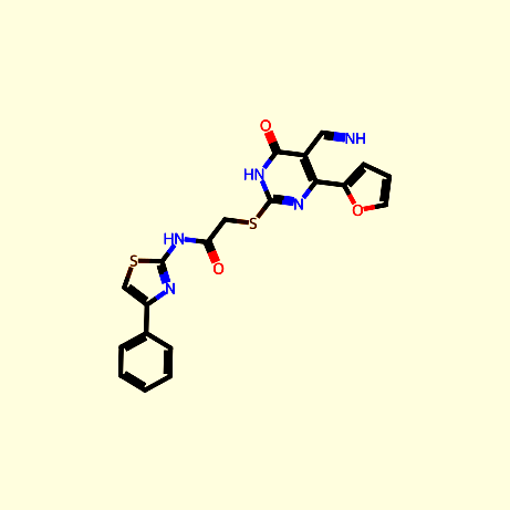 N=Cc1c(-c2ccco2)nc(SCC(=O)Nc2nc(-c3ccccc3)cs2)[nH]c1=O